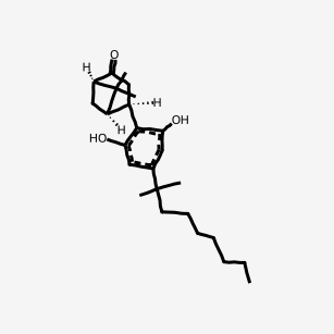 CCCCCCCC(C)(C)c1cc(O)c([C@@H]2CC(=O)[C@@H]3C[C@H]2C3(C)C)c(O)c1